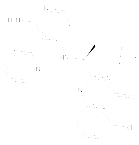 CC[C@H](Nc1ncnc(N)c1-c1ccccn1)c1nc2cccc(Cl)c2c(=O)n1C1CC1